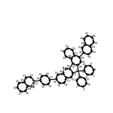 c1ccc(C2(c3ccccc3)c3cc4ccc(-c5ccc(-c6ccc7ccccc7n6)cc5)cc4nc3-c3c2cc(-c2ccc4ccccc4c2)c2ccccc32)cc1